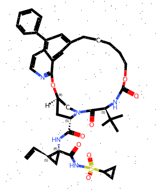 C=C[C@@H]1C[C@]1(NC(=O)[C@@H]1C[C@@H]2CN1C(=O)[C@H](C(C)(C)C)NC(=O)OCCCCCc1cc(-c3ccccc3)c3ccnc(c3c1)O2)C(=O)NS(=O)(=O)C1CC1